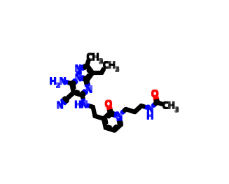 CCc1c(C)nn2c(N)c(C#N)c(NCCc3cccn(CCCNC(C)=O)c3=O)nc12